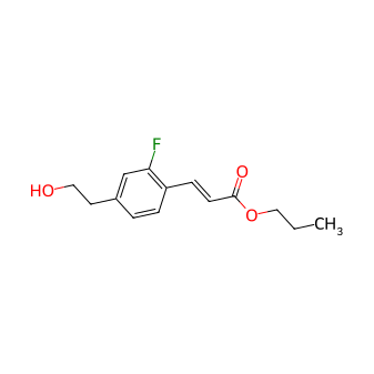 CCCOC(=O)/C=C/c1ccc(CCO)cc1F